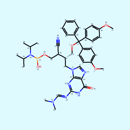 COc1ccc(C(OC[C@H](Cn2cnc3c(=O)[nH]c(N=CN(C)C)nc32)C(C#N)COP(O)N(C(C)C)C(C)C)(c2ccccc2)c2ccc(OC)cc2)cc1